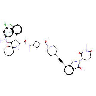 O=C1CCC(N2Cc3c(C#CC4CCN(C(=O)[C@H]5C[C@H](NC(=O)[C@@H]6NC7(CCCCC7)[C@@]7(C(=O)Nc8cc(Cl)ccc87)[C@H]6c6cccc(Cl)c6F)C5)CC4)cccc3C2=O)C(=O)N1